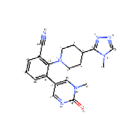 Cn1cnnc1C1CCN(c2c(C#N)cccc2-c2cnc(=O)n(C)c2)CC1